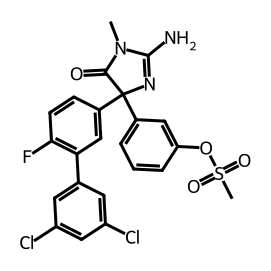 CN1C(=O)C(c2cccc(OS(C)(=O)=O)c2)(c2ccc(F)c(-c3cc(Cl)cc(Cl)c3)c2)N=C1N